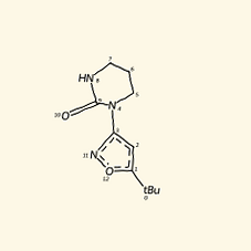 CC(C)(C)c1cc(N2CCCNC2=O)no1